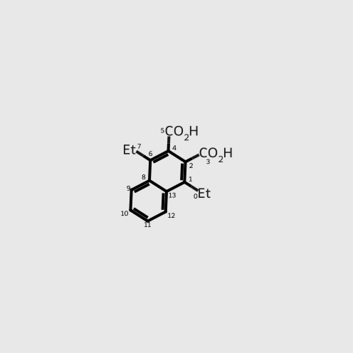 CCc1c(C(=O)O)c(C(=O)O)c(CC)c2ccccc12